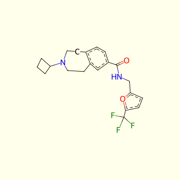 O=C(NCc1ccc(C(F)(F)F)o1)c1ccc2c(c1)CCN(C1CCC1)CC2